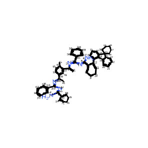 C=C(/N=C(\N=C(/N)C1=CCCC=C1c1cccc2c1-c1ccccc1C21CCCCC1)c1ccccc1)c1cc(C(C)/N=C(\N=C(/N)C2=CCCC=C2)c2ccccc2)ccc1C